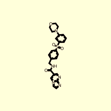 O=C(NCc1ccc(S(=O)(=O)c2cccc(N3CCOCC3)c2)cc1)c1cnc2nccn2c1